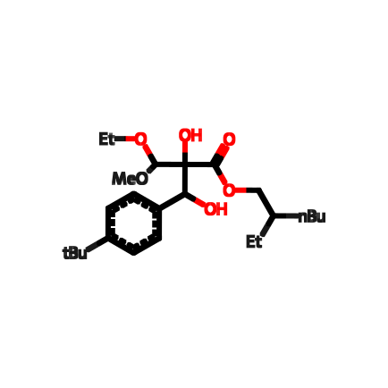 CCCCC(CC)COC(=O)C(O)(C(OC)OCC)C(O)c1ccc(C(C)(C)C)cc1